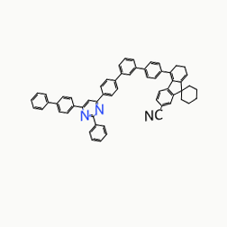 N#Cc1ccc2c(c1)C1(CCCCC1)C1=CCCC(c3ccc(-c4cccc(-c5ccc(-c6cc(-c7ccc(-c8ccccc8)cc7)nc(-c7ccccc7)n6)cc5)c4)cc3)=C12